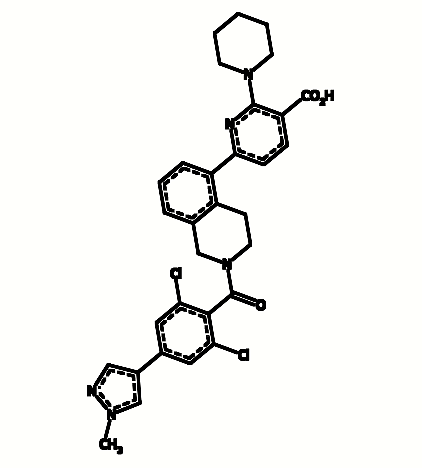 Cn1cc(-c2cc(Cl)c(C(=O)N3CCc4c(cccc4-c4ccc(C(=O)O)c(N5CCCCC5)n4)C3)c(Cl)c2)cn1